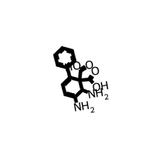 NC1=CC=C(c2ccccc2)C(C(=O)O)(C(=O)O)C1N